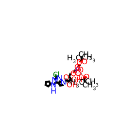 CC(C)(C)C(=O)OCOP(=O)(COCC1O[C@@H](n2ccc3c(NC4CCCC4)nc(Cl)nc32)[C@H](O)[C@@H]1O)OCOC(=O)C(C)(C)C